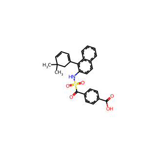 CC1(C)C=CC=C(c2c(NS(=O)(=O)C(=O)c3ccc(C(=O)O)cc3)ccc3ccccc23)C1